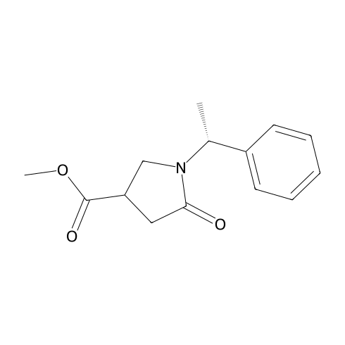 COC(=O)C1CC(=O)N([C@H](C)c2ccccc2)C1